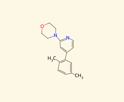 Cc1ccc(C)c(-c2ccnc(N3CCOCC3)c2)c1